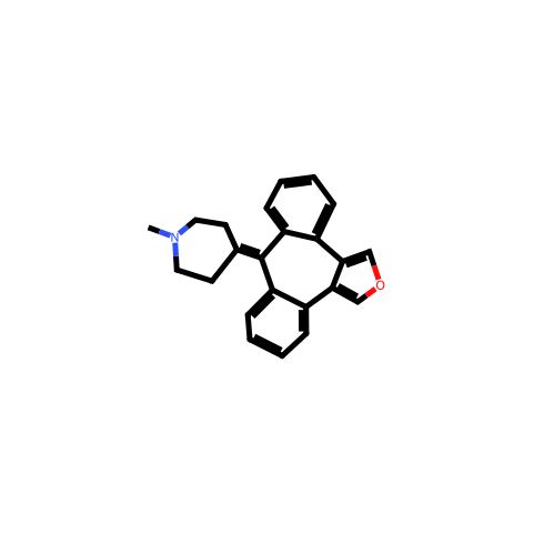 CN1CCC(=C2c3ccccc3-c3cocc3-c3ccccc32)CC1